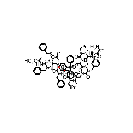 CC(C)C[C@@H](C(=O)N(C)[C@H](C(=O)N[C@@H](Cc1ccccc1)C(=O)N[C@@H](CC(=O)OSCc1ccccc1)C(=O)N(C)[C@@H](Cc1ccccc1)C(=O)N[C@@H](C)C(=O)O)C(C)C)N(C)C(=O)CNC(=O)[C@H](Cc1ccccc1)N(C)C(=O)[C@@H](NC(=O)[C@H](CC(C)C)N(C)C(=O)[C@@H](NC(=O)[C@H](C)N)C(C)C)[C@@H](C)OC(c1ccccc1)(c1ccccc1)c1ccccc1